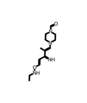 CCNO/C=C/C(=N)/C(C)=C/N1CCN(C=O)CC1